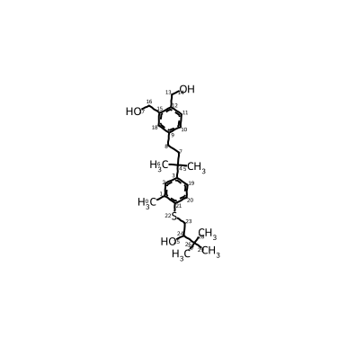 Cc1cc(C(C)(C)CCc2ccc(CO)c(CO)c2)ccc1SCC(O)C(C)(C)C